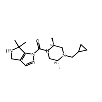 C[C@@H]1CN(C(=O)n2ncc3c2C(C)(C)NC3)[C@@H](C)CN1CC1CC1